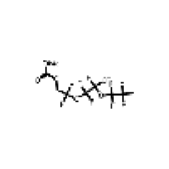 COC(=O)OCC(F)(F)OC(F)(F)C(F)(OC(F)(F)C(C)(F)F)C(F)(F)F